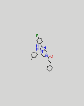 Cc1ccc(Nc2c(-c3ccc(F)cc3)nc3n2CCN(C(=O)CCc2ccccc2)C3)cc1